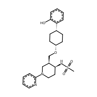 CS(=O)(=O)N[C@H]1CCN(c2ccccn2)C[C@H]1CO[C@H]1CC[C@@H](c2ccccc2O)CC1